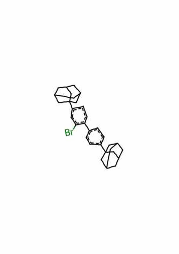 Brc1cc(C23CC4CC(CC(C4)C2)C3)ccc1-c1ccc(C23CC4CC(CC(C4)C2)C3)cc1